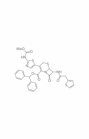 COC(=O)Nc1ncc(C2=C(C(=O)OC(c3ccccc3)c3ccccc3)N3C(=O)C(NC(=O)Cc4cccs4)C3SC2)s1